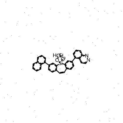 CO[Si]1(OC)c2cc(-c3cccc4ccccc34)ccc2C=Cc2ccc(-c3cccc4nnccc34)cc21